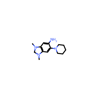 CN1CN(C)c2cc(N3CCCCC3)c(N)cc21